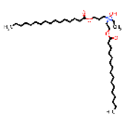 CCCCCCCCCCCCCCCC(=O)OCCC[N+](O)(CC)CCOC(=O)CCCCCCCCCCCCCCC